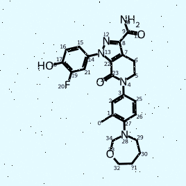 Cc1cc(N2CCc3c(C(N)=O)nn(-c4ccc(O)c(F)c4)c3C2=O)ccc1N1CCCCOC1